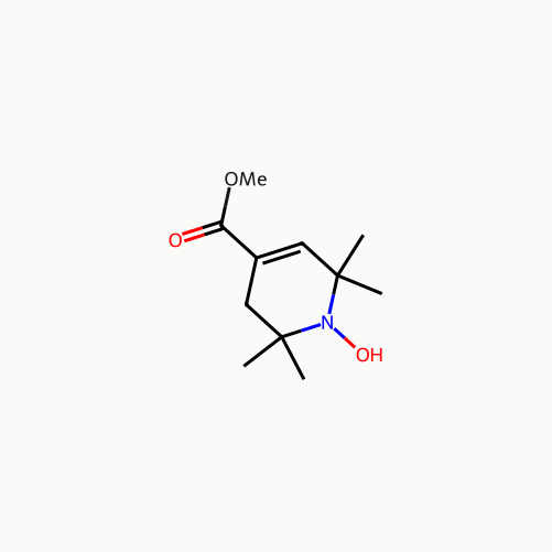 COC(=O)C1=CC(C)(C)N(O)C(C)(C)C1